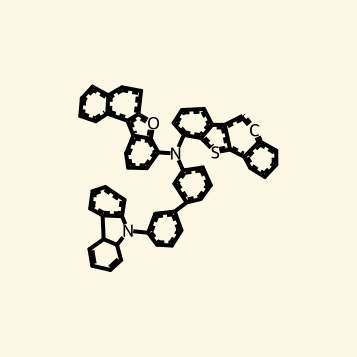 C1=CC2c3ccccc3N(c3cccc(-c4cccc(N(c5cccc6c5oc5ccc7ccccc7c56)c5cccc6c5sc5c7ccccc7ccc65)c4)c3)C2C=C1